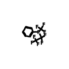 FC(F)(F)P(c1ccccc1)C(F)(F)C(F)(F)F